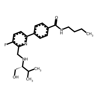 CCCCNC(=O)c1ccc(-c2ccc(F)c(CN[C@@H](CO)C(C)C)n2)cc1